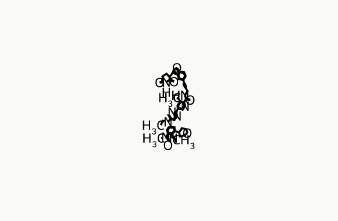 CCN(c1cnc(-c2cnc(C(=O)NCC#Cc3ccc4occ(C5CCC(=O)NC5=O)c4c3)c(C)c2)nc1)c1cc(C2CCOCC2)c2c(c1)n(C)c(=O)n2C